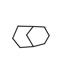 [C]1CCC2CCCC1C2